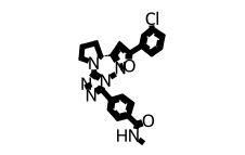 CNC(=O)c1ccc(-c2nnc(N3CCC[C@@H]3c3cc(-c4cccc(Cl)c4)on3)n2C)cc1